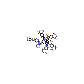 Cc1cc2c(cc1N1c3cc(N4c5ccc(C(C)(C)C)cc5C5(C)CCCCC45C)cc4c3B(C3=C5c6c(cc7c(c6-c6cc8c(cc6N54)C(C)(C)CCC8(C)C)C(C)(C)CCC7(C)C)C3(C)C)c3c1sc1cc4c(cc31)C(C)(C)CCC4(C)C)C(C)(C)CCC2(C)C